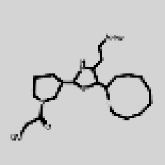 CC(=O)NCCC1NC(C2CCCN(C(=O)CC(C)(C)C)C2)SC1C1CCCCCCCCC1